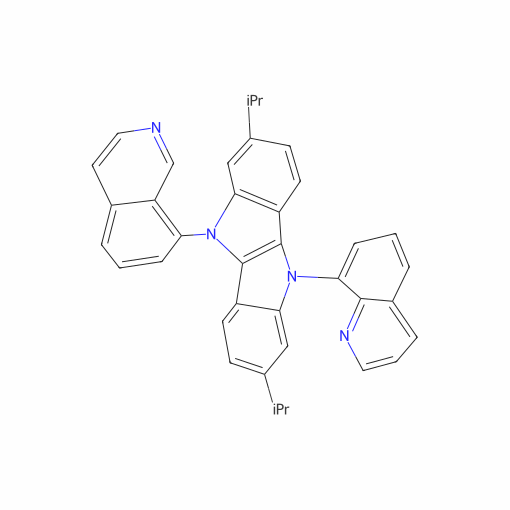 CC(C)c1ccc2c(c1)n(-c1cccc3ccncc13)c1c3ccc(C(C)C)cc3n(-c3cccc4cccnc34)c21